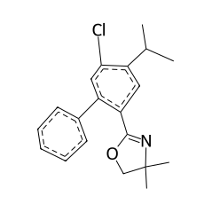 CC(C)c1cc(C2=NC(C)(C)CO2)c(-c2ccccc2)cc1Cl